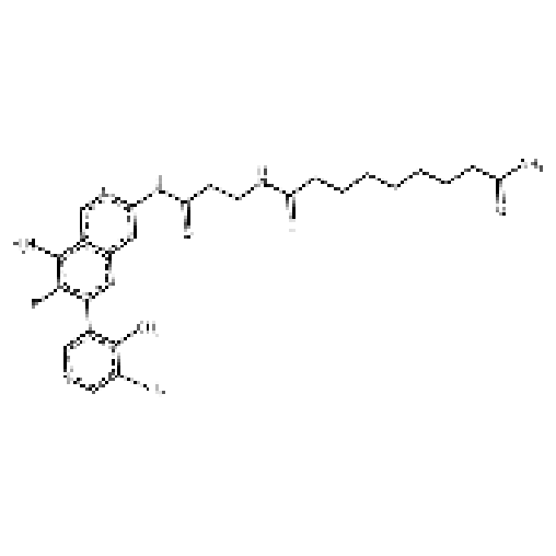 Cc1c(N)cncc1-c1cc2cc(NC(=O)CCNC(=O)CCCCCCCC(N)=O)ncc2c(N)c1F